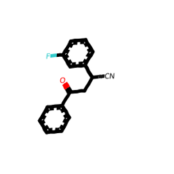 N#CC(CC(=O)c1ccccc1)c1cccc(F)c1